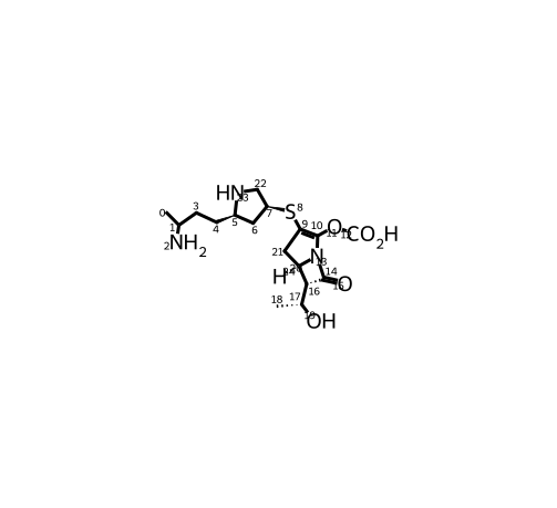 CC(N)CC[C@@H]1C[C@H](SC2=C(OC(=O)O)N3C(=O)[C@H]([C@@H](C)O)[C@H]3C2)CN1